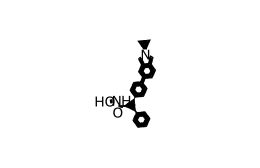 O=C(NO)[C@@H]1[C@H](c2ccccc2)[C@H]1c1ccc(-c2ccc3c(c2)CN(C2CC2)C3)cc1